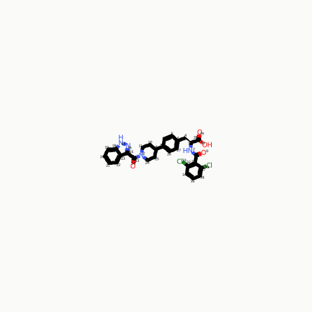 O=C(N[C@@H](Cc1ccc(C2CCN(C(=O)c3n[nH]c4ccccc34)CC2)cc1)C(=O)O)c1c(Cl)cccc1Cl